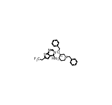 FC(F)(F)Cc1cc2c(N[C@H]3CCN(Cc4ccccc4)C[C@@H]3OCc3ccccc3)ncnc2s1